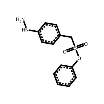 NNc1ccc(CS(=O)(=O)Oc2ccccc2)cc1